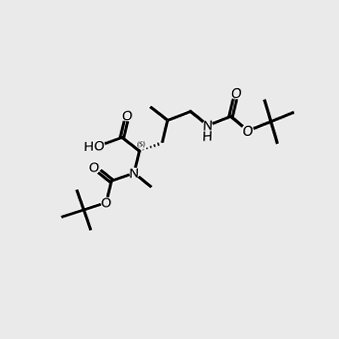 CC(CNC(=O)OC(C)(C)C)C[C@@H](C(=O)O)N(C)C(=O)OC(C)(C)C